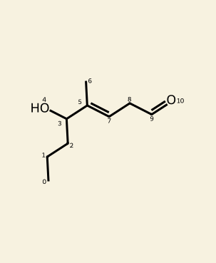 CCCC(O)C(C)=CCC=O